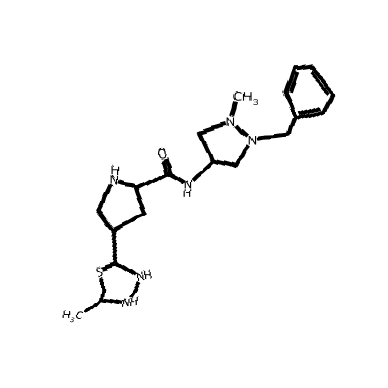 CC1NNC(C2CNC(C(=O)NC3CN(C)N(Cc4ccccc4)C3)C2)S1